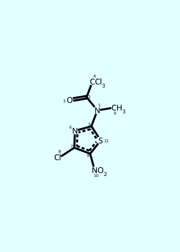 CN(C(=O)C(Cl)(Cl)Cl)c1nc(Cl)c([N+](=O)[O-])s1